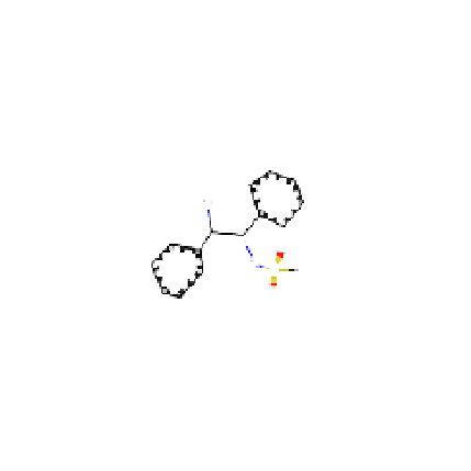 NC(c1ccccc1)[C@H](NS(=O)(=O)C(F)(F)F)c1ccccc1